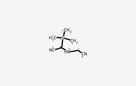 C[Si](C)(C)C(C#N)NCC#N